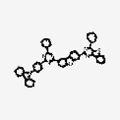 c1ccc(-c2nc(-c3ccc(-n4c5ccccc5c5ccccc54)cc3)nc(-c3ccc4oc5cc(-c6nc(-c7ccccc7)c7sc8ccccc8c7n6)ccc5c4c3)n2)cc1